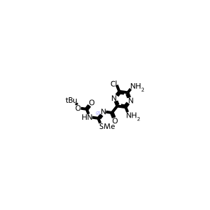 CS/C(=N\C(=O)c1nc(Cl)c(N)nc1N)NC(=O)OC(C)(C)C